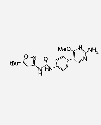 COc1nc(N)ncc1-c1ccc(NC(=O)Nc2cc(C(C)(C)C)on2)cc1